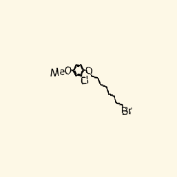 COc1ccc(OCCCCCCCCBr)c(Cl)c1